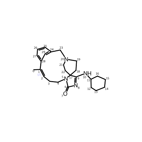 C/C1=C/CCN2C(=O)N=C(NC3CCCCC3)C23CCN(CC3)Cc2cccc1c2